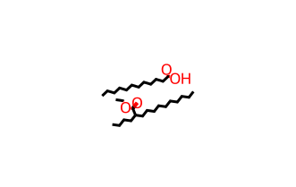 CCCCCCCCCCC(CCCC)C(=O)OCC.CCCCCCCCCCCC(=O)O